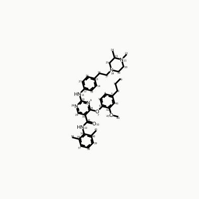 CCCc1ccc(Oc2nc(Nc3ccc(CCN4CCN(C)C(C)C4)cc3)ncc2C(=O)Nc2c(C)cccc2C)c(OC)c1